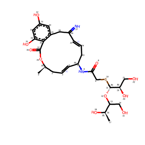 C[C@@H]1C/C=C/[C@H](NC(=O)CS[C@@H](OC(CO)[C@@H](C)O)[C@H](O)CO)C/C=C/C(=N)Cc2cc(O)cc(O)c2C(=O)O1